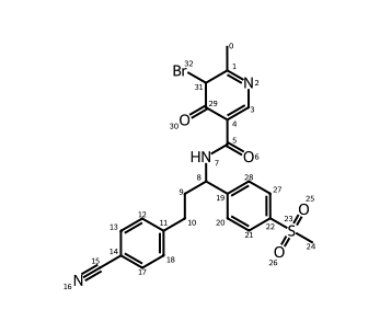 CC1=NC=C(C(=O)NC(CCc2ccc(C#N)cc2)c2ccc(S(C)(=O)=O)cc2)C(=O)C1Br